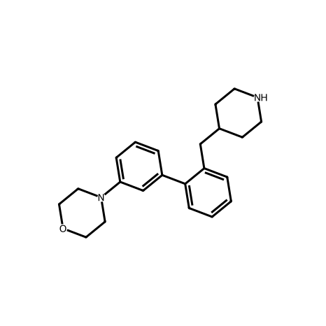 c1cc(-c2ccccc2CC2CCNCC2)cc(N2CCOCC2)c1